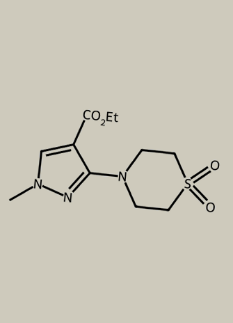 CCOC(=O)c1cn(C)nc1N1CCS(=O)(=O)CC1